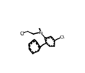 CN(CCCl)c1cc(Cl)ccc1-c1ccccc1